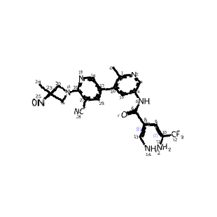 Cc1ncc(NC(=O)C(/C=C(\N)C(F)(F)F)=C/N)cc1-c1cnc(N2CC(C)(N=O)C2)c(C#N)c1